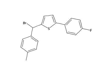 Cc1ccc(C(Br)c2ccc(-c3ccc(F)cc3)s2)cc1